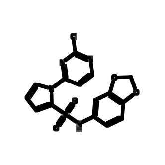 O=S(=O)(Nc1ccc2c(c1)OCO2)c1cccn1-c1ccnc(Cl)n1